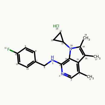 Cc1cnc(NCc2ccc(F)cc2)c2c1c(C)c(C)n2C1CC1.Cl